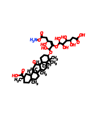 CC1(C)[C@@H](O[C@@H](O)/C(=C\[C@H](O)CC(=O)ON)O[C@@H](O)C(O)C(O)[C@H](O)CC(=O)O)CC[C@]2(C)[C@H]3C(=O)C=C4[C@@H]5C[C@@](C)(C(=O)O)CC[C@]5(C)CC[C@@]4(C)[C@]3(C)CC[C@@H]12